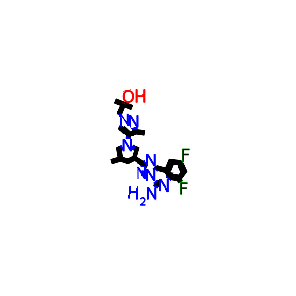 Cc1nn(CC(C)(C)O)cc1N1CC(C)CC(c2nc3c4cc(F)cc(F)c4nc(N)n3n2)C1